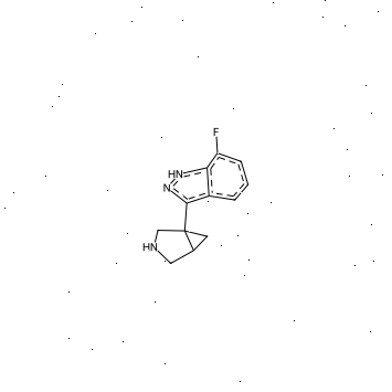 Fc1cccc2c(C34CNCC3C4)n[nH]c12